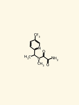 CC(c1ccc(C(F)(F)F)cn1)N(C)C(=O)C(N)=O